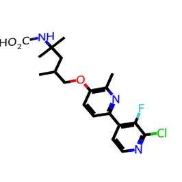 Cc1nc(-c2ccnc(Cl)c2F)ccc1OCC(C)CC(C)(C)NC(=O)O